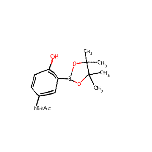 CC(=O)Nc1ccc(O)c(B2OC(C)(C)C(C)(C)O2)c1